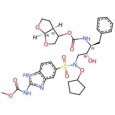 COC(=O)Nc1nc2cc(S(=O)(=O)N(C[C@@H](O)[C@H](Cc3ccccc3)NC(=O)OC3CO[C@H]4OCC[C@@H]34)OC3CCCC3)ccc2[nH]1